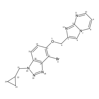 Brc1c(OCc2cn3cccnc3n2)ccc2c1nnn2CC1CC1